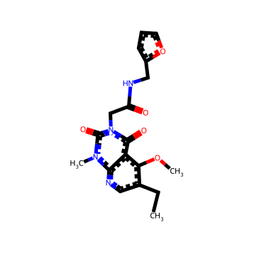 CCc1cnc2c(c1OC)c(=O)n(CC(=O)NCc1ccco1)c(=O)n2C